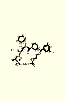 COC(=O)NCCOC(c1cc(F)cc(Cl)c1)[C@@H]1CCCN(C(=O)N[C@@H](C[C@@H]2CCCOC2)CN(C=O)OCC(C)[Si](C)(C)C)C1